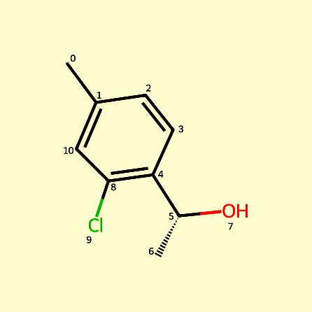 Cc1ccc([C@@H](C)O)c(Cl)c1